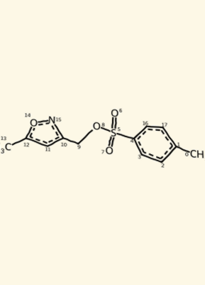 Cc1ccc(S(=O)(=O)OCc2cc(C)on2)cc1